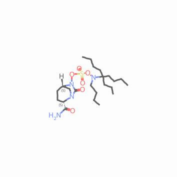 CCCCN(OS(=O)(=O)ON1C(=O)N2C[C@@H]1CC[C@H]2C(N)=O)C(CCC)(CCCC)CCCC